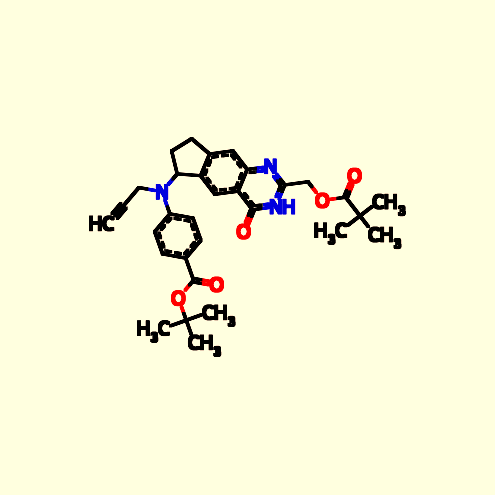 C#CCN(c1ccc(C(=O)OC(C)(C)C)cc1)C1CCc2cc3nc(COC(=O)C(C)(C)C)[nH]c(=O)c3cc21